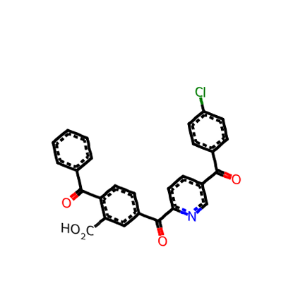 O=C(c1ccc(Cl)cc1)c1ccc(C(=O)c2ccc(C(=O)c3ccccc3)c(C(=O)O)c2)nc1